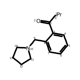 CC(C)C(=O)c1ccccc1CN1CCCC1